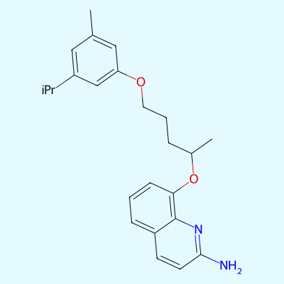 Cc1cc(OCCCC(C)Oc2cccc3ccc(N)nc23)cc(C(C)C)c1